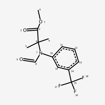 COC(=O)C(C)(C)N(C=O)c1cccc(C(F)(F)F)c1